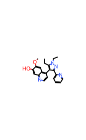 CCc1c(-c2ccnc3cc(O)c(OC)cc23)c(-c2ccccn2)nn1CC